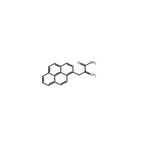 C=C(Cc1ccc2ccc3cccc4ccc1c2c34)C(N)=O